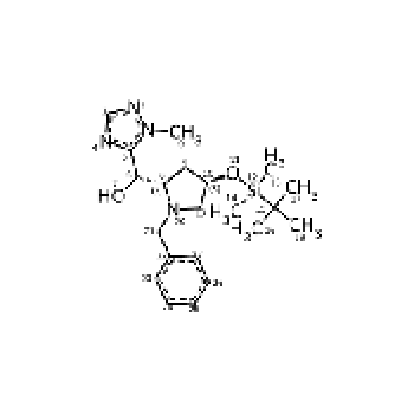 Cn1ncnc1C(O)[C@@H]1C[C@@H](O[Si](C)(C)C(C)(C)C)CN1Cc1ccccc1